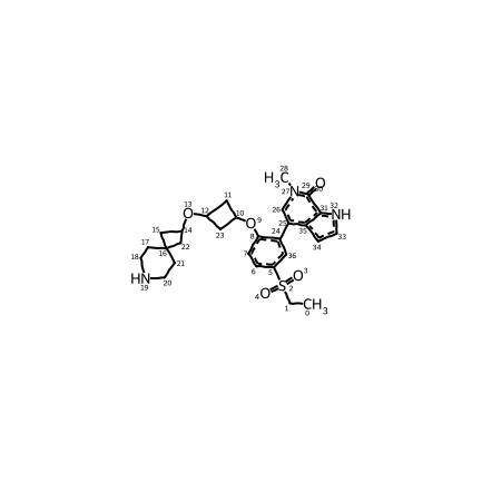 CCS(=O)(=O)c1ccc(OC2CC(OC3CC4(CCNCC4)C3)C2)c(-c2cn(C)c(=O)c3[nH]ccc23)c1